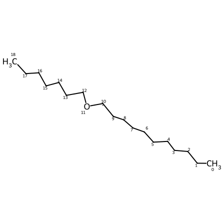 CCCCCCCCCC[CH]OCCCCCCC